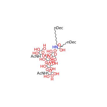 CCCCCCCCCCCCC/C=C/[C@@H](O)[C@H](CO[C@@H]1OC(CO)[C@@H](O[C@@H]2OC(CO[C@@H]3OC(CO)[C@@H](O)[C@H](O)C3NC(C)=O)[C@H](O)[C@H](O[C@H]3OC(CO)[C@H](O)[C@H](O[C@@H]4OC(CO)[C@H](O)[C@H](O)C4NC(C)=O)C3O)C2O)[C@H](O)C1O)NC(=O)CCCCCCCCCCCCCCCCCCC